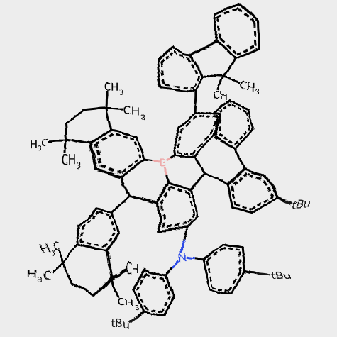 CC(C)(C)c1ccc(N(c2ccc(C(C)(C)C)cc2)c2cc3c4c(c2)C(c2ccc(C(C)(C)C)cc2-c2ccccc2)c2ccc(-c5cccc6c5C(C)(C)c5ccccc5-6)cc2B4c2cc4c(cc2C3c2ccc3c(c2)C(C)(C)CCC3(C)C)C(C)(C)CCC4(C)C)cc1